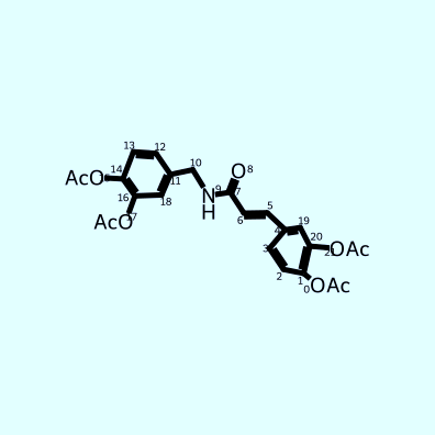 CC(=O)Oc1ccc(/C=C/C(=O)NCc2ccc(OC(C)=O)c(OC(C)=O)c2)cc1OC(C)=O